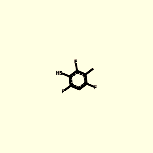 Cc1c(F)cc(F)c(S)c1F